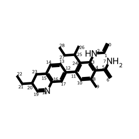 C=CNc1c(C(=C)N)c(C)cc(-c2ccc3c(c2)N=CC(CC)C3)c1C(C)CC